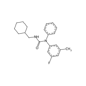 Cc1cc(F)cc(N(C(=O)NCC2CCCCC2)c2ccccc2)c1